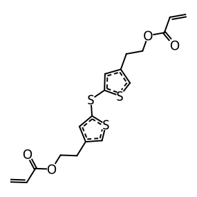 C=CC(=O)OCCc1csc(Sc2cc(CCOC(=O)C=C)cs2)c1